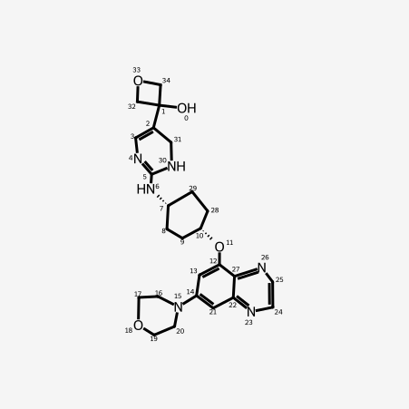 OC1(C2=CN=C(N[C@H]3CC[C@@H](Oc4cc(N5CCOCC5)cc5nccnc45)CC3)NC2)COC1